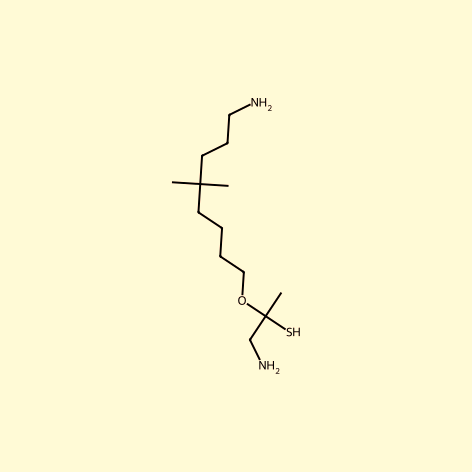 CC(C)(CCCN)CCCCOC(C)(S)CN